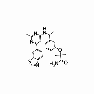 Cc1nc(NC(C)c2cccc(OC(C)(C)C(N)=O)c2)cc(-c2ccc3ncsc3c2)n1